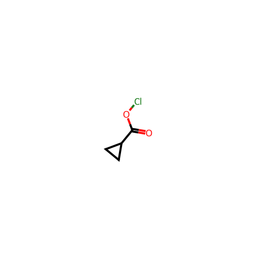 O=C(OCl)C1CC1